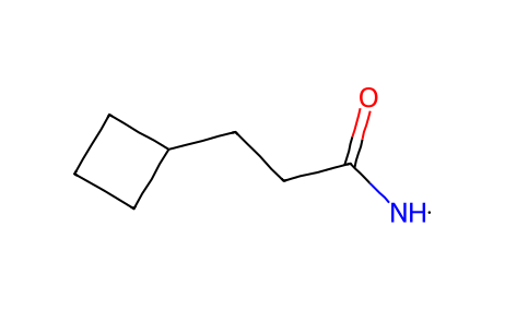 [NH]C(=O)CCC1CCC1